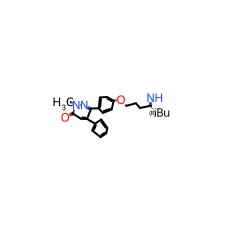 CC[C@@H](C)C(=N)CCCOc1ccc(-c2nn(C)c(=O)cc2-c2ccccc2)cc1